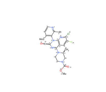 CSc1ccnc(C(C)C)c1N1C(=C=O)N=C(N2CCN(C(=O)OC(C)(C)C)C[C@@H]2C)c2cc(F)c(Cl)nc21